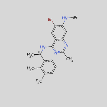 Cc1nc(N[C@H](C)c2cccc(C(F)(F)F)c2C)c2cc(Br)c(NC(C)C)cc2n1